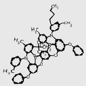 CCCCc1cc(C)cc(N2c3cc(C)cc(I)c3B3c4cc5c(cc4Oc4cc(Oc6ccccc6)cc2c43)Oc2cc(Oc3ccccc3)cc3c2B5c2c(cc(C)cc2C(C)(C)C)N3c2cccc(C)c2)c1